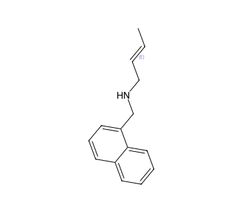 C/C=C/CNCc1cccc2ccccc12